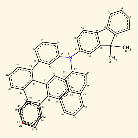 CC1(C)c2ccccc2-c2ccc(N(c3cccc(-c4cccc(-c5ccccc5)c4-c4ccccc4-c4ccccc4)c3)c3ccc4ccccc4c3)cc21